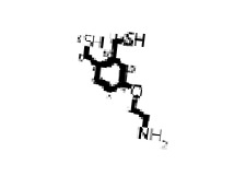 NCCOc1ccc(CS)c(CS)c1